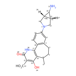 CC1CCc2cc(N3C[C@@H]4C(N)[C@@H]4C3)ccc2-c2[nH]c(=O)c(C(=O)O)c(O)c21